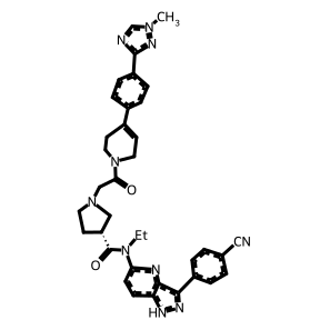 CCN(C(=O)[C@@H]1CCN(CC(=O)N2CC=C(c3ccc(-c4ncn(C)n4)cc3)CC2)C1)c1ccc2[nH]nc(-c3ccc(C#N)cc3)c2n1